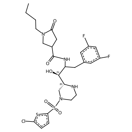 CCCCN1CC(C(=O)NC(Cc2cc(F)cc(F)c2)[C@H](O)[C@H]2CN(S(=O)(=O)c3ccc(Cl)s3)CCN2)CC1=O